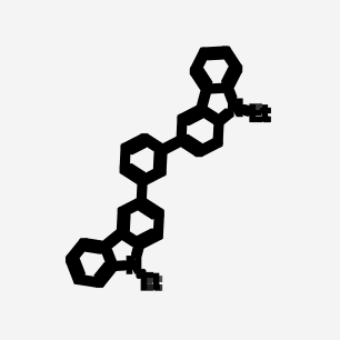 CCN1c2ccccc2C2=CC(c3cccc(-c4ccc5c(c4)c4ccccc4n5CC)c3)=CCC21